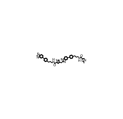 Cc1ncc(C(=O)NCCCc2ccc(-c3ccc4c(c3)nc(Cc3cc(C(=O)NCCCc5ccc(-c6ccc7c(c6)ncn7C)cc5)n(C)n3)n4C)cc2)s1